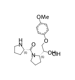 COc1ccc(OCC(O)[C@@H]2CCCN2C(=O)[C@@H]2CCCN2)cc1.Cl